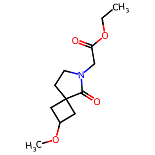 CCOC(=O)CN1CCC2(CC(OC)C2)C1=O